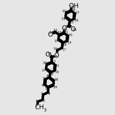 CCCCCc1ccc(-c2ccc(C(=O)OCCc3ccc(OC(=O)c4ccc(O)cc4)c(C=O)c3)cc2)cc1